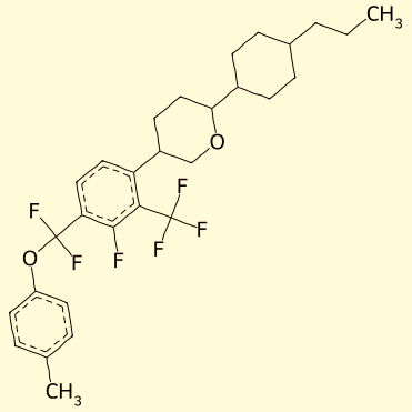 CCCC1CCC(C2CCC(c3ccc(C(F)(F)Oc4ccc(C)cc4)c(F)c3C(F)(F)F)CO2)CC1